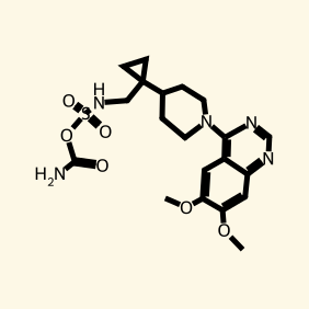 COc1cc2ncnc(N3CCC(C4(CNS(=O)(=O)OC(N)=O)CC4)CC3)c2cc1OC